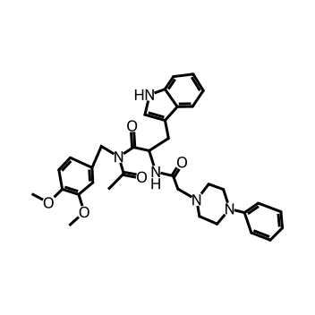 COc1ccc(CN(C(C)=O)C(=O)C(Cc2c[nH]c3ccccc23)NC(=O)CN2CCN(c3ccccc3)CC2)cc1OC